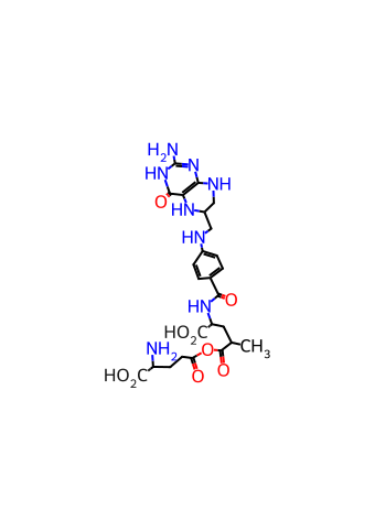 CC(CC(NC(=O)c1ccc(NCC2CNc3nc(N)[nH]c(=O)c3N2)cc1)C(=O)O)C(=O)OC(=O)CCC(N)C(=O)O